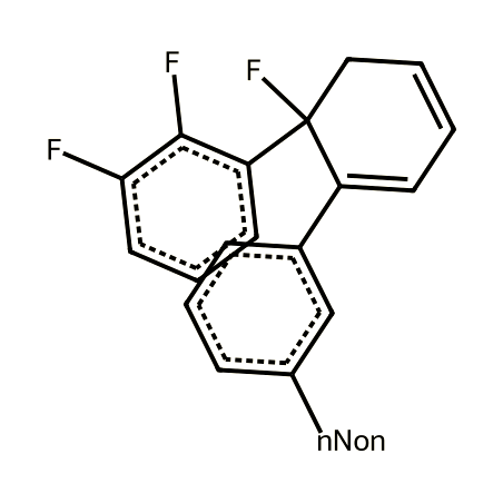 CCCCCCCCCc1cccc(C2=CC=CCC2(F)c2cccc(F)c2F)c1